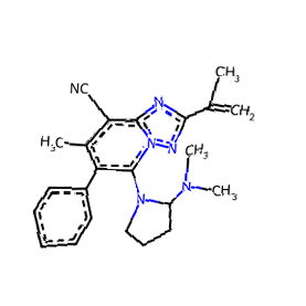 C=C(C)c1nc2c(C#N)c(C)c(-c3ccccc3)c(N3CCCC3N(C)C)n2n1